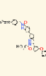 CCCCCc1ccc(CNC(=O)c2ccc(-c3ccc(CC(NC(=O)C(=O)O)c4cccc(Oc5ccccc5)c4)cc3)cc2)cc1